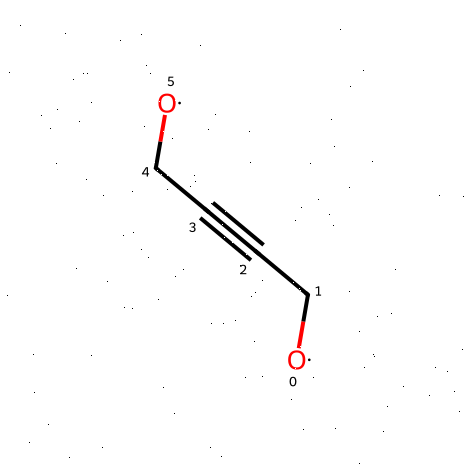 [O]CC#CC[O]